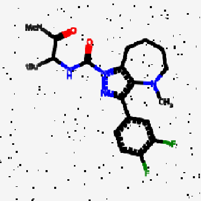 CNC(=O)C(NC(=O)n1nc(-c2ccc(F)c(F)c2)c2c1CCCCN2C)C(C)(C)C